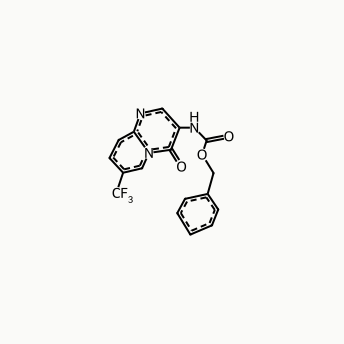 O=C(Nc1cnc2ccc(C(F)(F)F)cn2c1=O)OCc1ccccc1